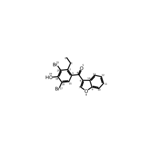 CCc1c(C(=O)c2coc3ccccc23)cc(Br)c(O)c1Br